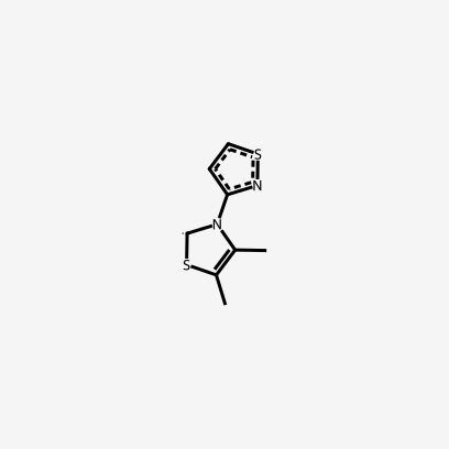 CC1=C(C)N(c2ccsn2)[CH]S1